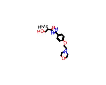 CN[C@@H](CO)c1nc(-c2ccc(OCCN3CCOCC3)cc2)no1